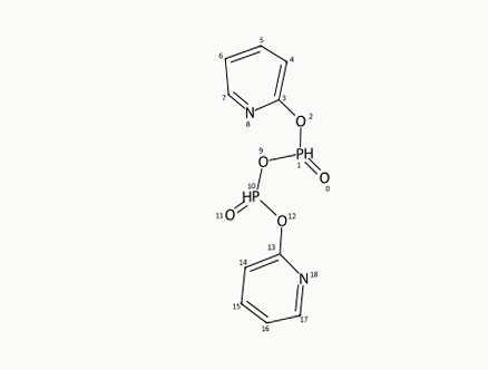 O=[PH](Oc1ccccn1)O[PH](=O)Oc1ccccn1